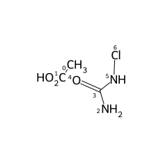 CC(=O)O.NC(=O)NCl